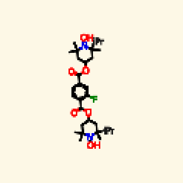 CC(C)C1(C)CC(OC(=O)c2ccc(C(=O)OC3CC(C)(C)N(O)C(C)(C(C)C)C3)c(F)c2)CC(C)(C)N1O